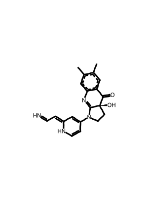 Cc1cc2c(cc1C)C(=O)[C@]1(O)CCN(C3=C/C(=C/C=N)NC=C3)C1=N2